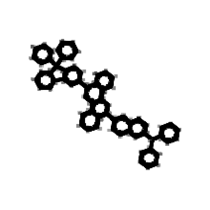 c1ccc(N(c2ccccc2)c2ccc3cc(-c4cc5c6ccccc6c(-c6ccc7c(c6)-c6ccccc6C7(c6ccccc6)c6ccccc6)cc5c5ccccc45)ccc3c2)cc1